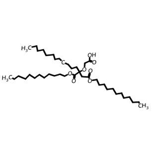 CCCCCCCCCCCCOC(=O)CC(CCCCCCCCCCCC)(OCC(=O)O)C(=O)OCCCCCCCCCCCC